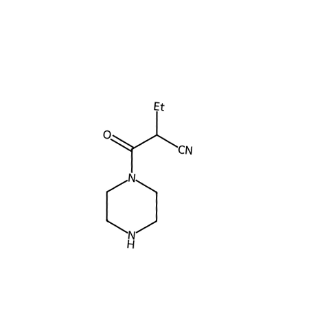 CCC(C#N)C(=O)N1CCNCC1